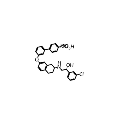 Cl.O=C(O)c1ccc(-c2cccc(Oc3ccc4c(c3)C[C@@H](NC[C@H](O)c3cccc(Cl)c3)CC4)c2)cc1